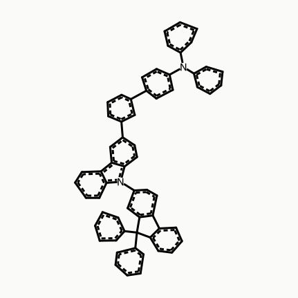 c1ccc(N(c2ccccc2)c2ccc(-c3cccc(-c4ccc5c(c4)c4ccccc4n5-c4ccc5c(c4)C(c4ccccc4)(c4ccccc4)c4ccccc4-5)c3)cc2)cc1